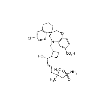 CC(C)(C/C=C/[C@H](O)[C@@H]1CC[C@H]1CN1C[C@@]2(CCCc3cc(Cl)ccc32)COc2ccc(C(=O)O)cc21)CS(N)(=O)=O